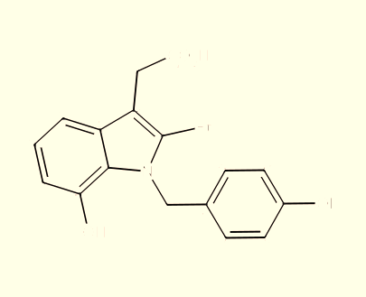 CCc1c(CC(=O)O)c2cccc(O)c2n1Cc1ccc(O)cc1